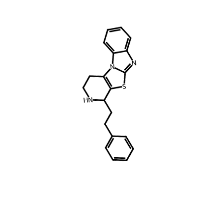 c1ccc(CCC2NCCc3c2sc2nc4ccccc4n32)cc1